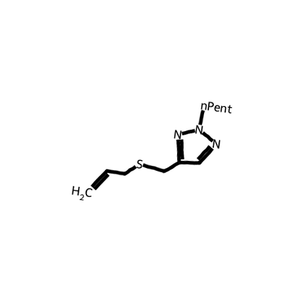 C=CCSCc1cnn(CCCCC)n1